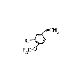 C=Cc1ccc(OC(F)(F)F)c(Cl)c1